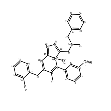 COc1cccc(C2=C(C)C(Cc3ccccc3F)=NC3=NN=C(CN(C)Cc4ccccc4)[N+]32[O-])c1